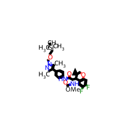 COC(=O)N[C@H](C(=O)Nc1ccc(-c2c(C)nn(COCC[Si](C)(C)C)c2C)cc1)C1c2cc(F)c(F)cc2OCC12CC2